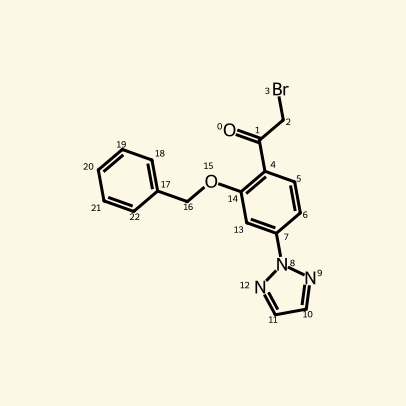 O=C(CBr)c1ccc(-n2nccn2)cc1OCc1ccccc1